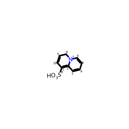 O=S(=O)(O)C1=C2C=CC=CN2CC=C1